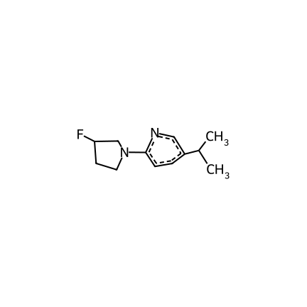 CC(C)c1ccc(N2CCC(F)C2)nc1